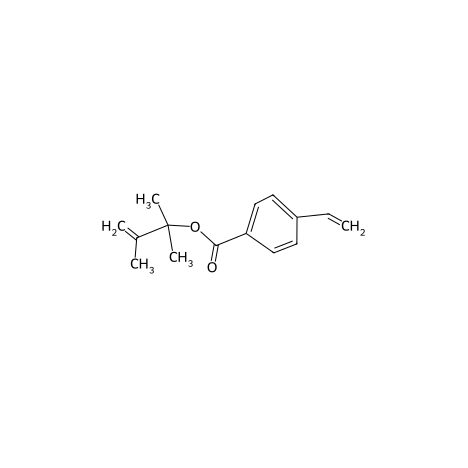 C=Cc1ccc(C(=O)OC(C)(C)C(=C)C)cc1